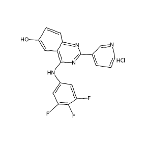 Cl.Oc1ccc2nc(-c3cccnc3)nc(Nc3cc(F)c(F)c(F)c3)c2c1